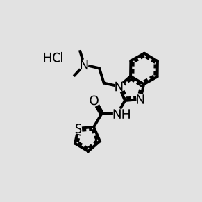 CN(C)CCn1c(NC(=O)c2cccs2)nc2ccccc21.Cl